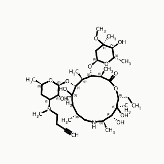 C#CCCN(C)[C@H]1C[C@@H](C)O[C@@H](O[C@@H]2[C@@H](C)[C@H](O[C@H]3C[C@@](C)(OC)[C@@H](O)[C@H](C)O3)[C@@H](C)C(=O)O[C@H](CC)[C@@](C)(O)[C@H](O)[C@@H](C)NC[C@H](C)C[C@@]2(C)O)[C@@H]1O